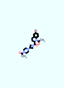 CC(=O)N1CCN(C2CN(C(=O)C3CCc4cc(Br)ccc4N3C(C)=O)C2)CC1